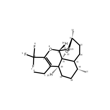 CCC1=C(C(F)(F)F)O[C@@H]2O[C@]3(C)CCC4[C@H](C)CC[C@@H]1[C@]42OO3